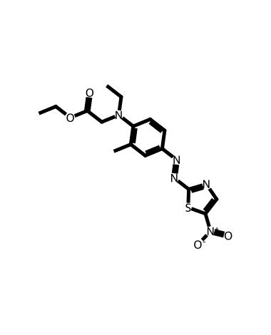 CCOC(=O)CN(CC)c1ccc(N=Nc2ncc([N+](=O)[O-])s2)cc1C